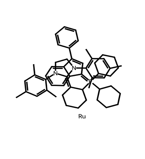 Cc1cc(C)c(N2CCN(c3c(C)cc(C)cc3C)C2=C2CCCCC2P(=C2C=C(c3ccccc3)c3ccccc32)(C2CCCCC2)C2CCCCC2)c(C)c1.[Ru]